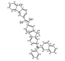 [2H]/C(=C(/[2H])c1ccc2oc3ccccc3c2c1)c1ccc2c(c1)C(C)(C)c1cc(N(c3ccccc3)c3ccc4ccccc4c3)ccc1-2